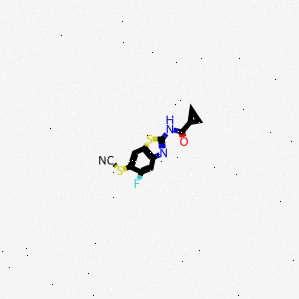 N#CSc1cc2sc(NC(=O)C3CC3)nc2cc1F